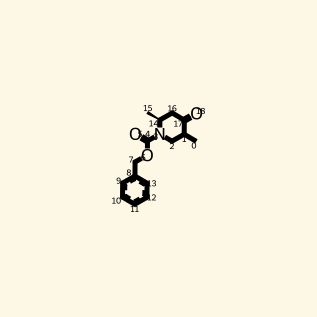 CC1CN(C(=O)OCc2ccccc2)[C@@H](C)CC1=O